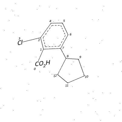 O=C(O)c1c(Cl)cccc1C1CCCC1